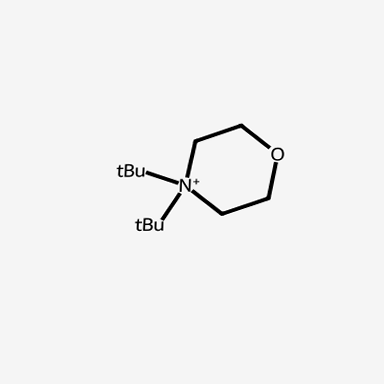 CC(C)(C)[N+]1(C(C)(C)C)CCOCC1